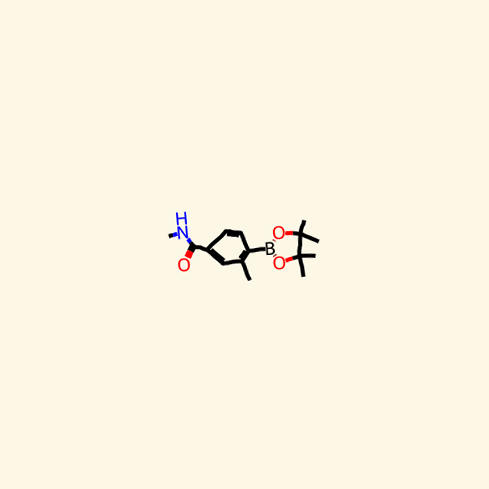 CNC(=O)c1ccc(B2OC(C)(C)C(C)(C)O2)c(C)c1